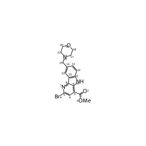 COC(=O)c1cc(Br)nc2c1[nH]c1ccc(CN3CCOCC3)cc12